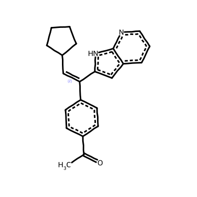 CC(=O)c1ccc(/C(=C/C2CCCC2)c2cc3cccnc3[nH]2)cc1